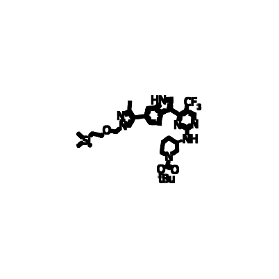 Cc1nn(COCC[Si](C)(C)C)cc1-c1ccc2c(-c3nc(N[C@H]4CCCN(C(=O)OC(C)(C)C)C4)ncc3C(F)(F)F)c[nH]c2c1